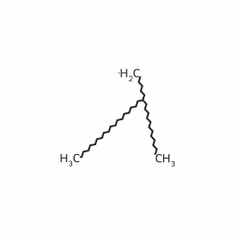 [CH2]CCCCCC(CCCCCCCCCCCCC)CCCCCCCCCCCCCCCCCCC